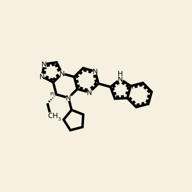 CC[C@@H]1c2nncn2-c2cnc(-c3cc4ccccc4[nH]3)nc2N1C1CCCC1